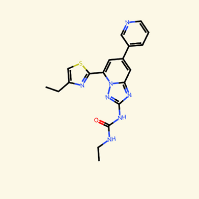 CCNC(=O)Nc1nc2cc(-c3cccnc3)cc(-c3nc(CC)cs3)n2n1